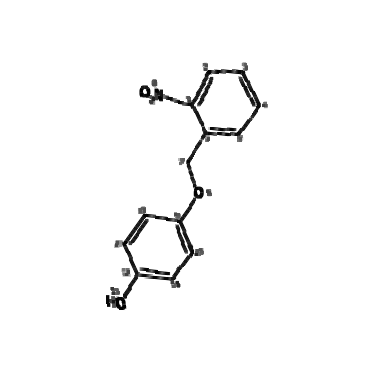 O=[N+]([O-])c1ccccc1COc1ccc(O)cc1